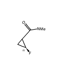 CNC(=O)C1C[C@@H]1F